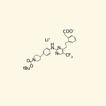 CC(C)(C)OC(=O)N1CCC(c2ccc(Nc3ncc(C(F)(F)F)c(CCc4ccccc4CC(=O)[O-])n3)cc2)CC1.[Li+]